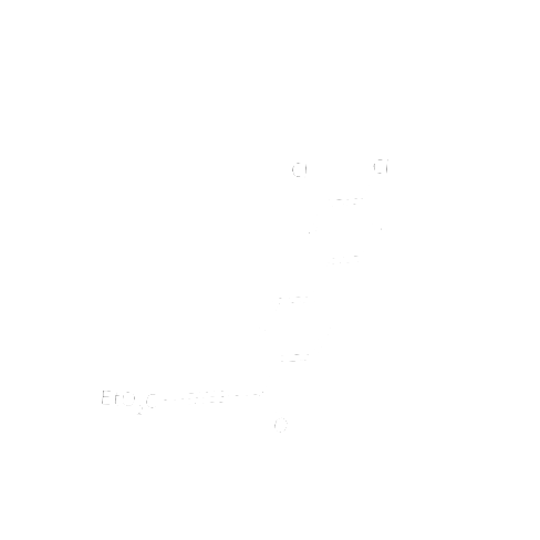 CCOC(=O)C#CC(=O)c1ccc(-c2ccc(Cl)c(Cl)c2)cc1